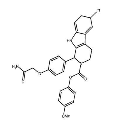 COc1ccc(OC(=O)N2CCc3c([nH]c4c3=CC(Cl)CC=4)C2c2ccc(OCC(N)=O)cc2)cc1